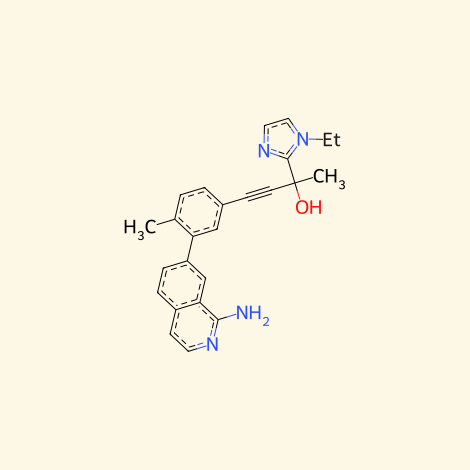 CCn1ccnc1C(C)(O)C#Cc1ccc(C)c(-c2ccc3ccnc(N)c3c2)c1